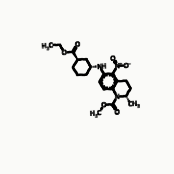 CCOC(=O)[C@@H]1CCC[C@@H](Nc2ccc3c(c2[N+](=O)[O-])CC[C@H](C)N3C(=O)OC)C1